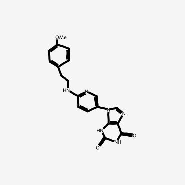 COc1ccc(CCNc2ccc(-n3cnc4c(=O)[nH]c(=O)[nH]c43)cn2)cc1